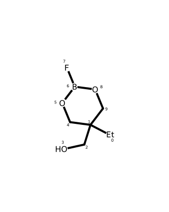 CCC1(CO)COB(F)OC1